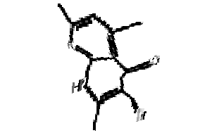 Cc1cc(C)c2c(=O)c(Br)c(C)[nH]c2n1